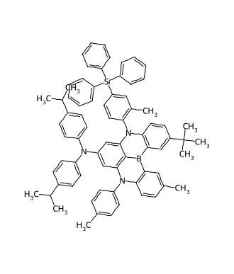 Cc1ccc(N2c3ccc(C)cc3B3c4cc(C(C)(C)C)ccc4N(c4ccc([Si](c5ccccc5)(c5ccccc5)c5ccccc5)cc4C)c4cc(N(c5ccc(C(C)C)cc5)c5ccc(C(C)C)cc5)cc2c43)cc1